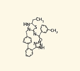 CCC1NN(Cc2ccc(-c3ccccc3-c3nnn[nH]3)cc2)C(=NC(=O)c2cccc(C)c2)S1